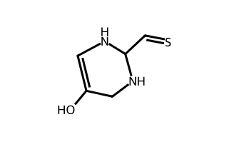 OC1=CNC(C=S)NC1